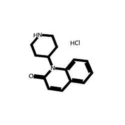 Cl.O=c1ccc2ccccc2n1C1CCNCC1